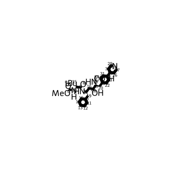 COC(=O)N[C@H](C(=O)N[C@@H](Cc1ccccc1)C[C@@H](O)[C@H](Cc1ccc(-c2ccncc2)cc1)NC(=O)O)C(C)(C)C